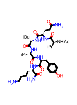 CC[C@H](C)[C@H](NC(=O)[C@H](CCC(N)=O)NC(=O)[C@@H](NC(C)=O)C(C)C)C(=O)N[C@H](C(=O)N[C@@H](Cc1ccc(O)cc1)C(=O)N[C@@H](CCCCN)C(N)=O)C(C)C